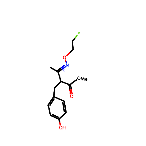 COC(=O)C(Cc1ccc(O)cc1)/C(C)=N/OCCF